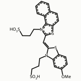 COc1ccc2c(c1)N(CCCS(=O)(=O)O)C(=Cc1sc3ccc4ccccc4c3[n+]1CCCS(=O)(=O)O)S2